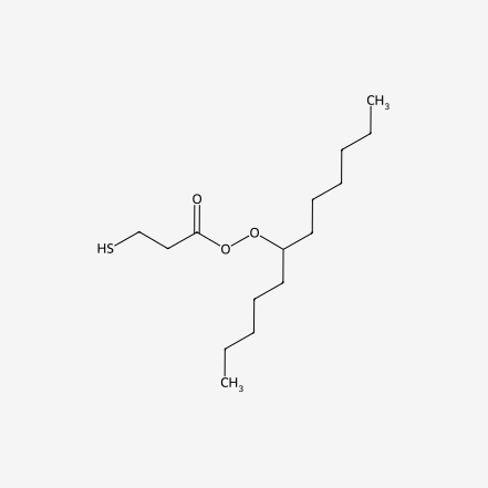 CCCCCCC(CCCCC)OOC(=O)CCS